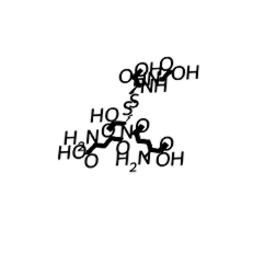 N[C@@H](CCC(=O)N(C(=O)CC[C@H](N)C(=O)O)[C@@H](CSSC[C@H](NNCC(=O)O)C(=O)O)C(=O)O)C(=O)O